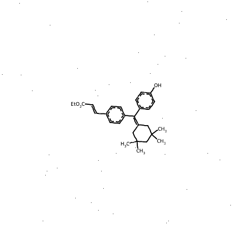 CCOC(=O)C=Cc1ccc(C(=C2CC(C)(C)CC(C)(C)C2)c2ccc(O)cc2)cc1